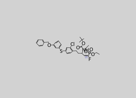 CCOP(=O)(OCC)/C(F)=C\C(CCc1ccc(Sc2cccc(OCc3ccccc3)c2)cc1Cl)NC(=O)OC(C)(C)C